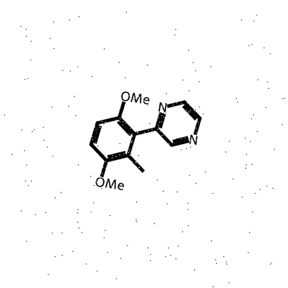 COc1ccc(OC)c(-c2cnccn2)c1C